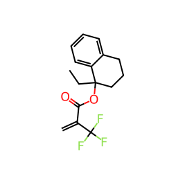 C=C(C(=O)OC1(CC)CCCc2ccccc21)C(F)(F)F